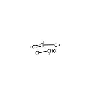 O=CCl.[O]=[Ti]=[O]